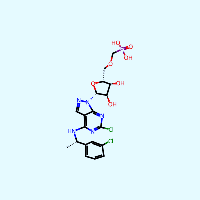 C[C@H](Nc1nc(Cl)nc2c1cnn2[C@@H]1O[C@H](COCP(=O)(O)O)[C@@H](O)[C@H]1O)c1cccc(Cl)c1